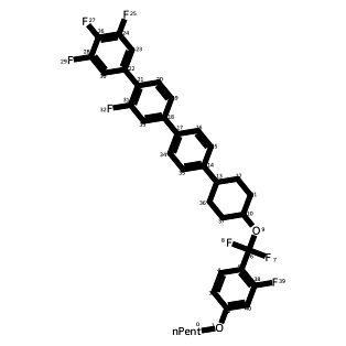 CCCCCOc1ccc(C(F)(F)OC2CCC(c3ccc(-c4ccc(-c5cc(F)c(F)c(F)c5)c(F)c4)cc3)CC2)c(F)c1